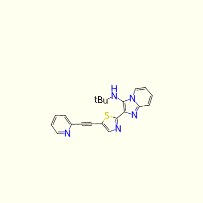 CC(C)(C)Nc1c(-c2ncc(C#Cc3ccccn3)s2)nc2ccccn12